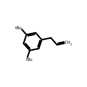 C=CCc1cc(C(C)(C)C)cc(C(C)(C)C)c1